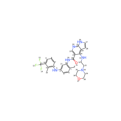 Cc1ccc(Nc2cccc(C(F)(F)F)c2C)cc1NC(=O)c1cnc2[nH]ccc2c1NCCN1CCOCC1